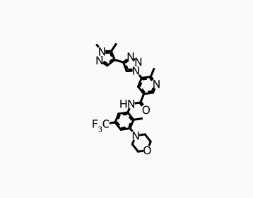 Cc1ncc(C(=O)Nc2cc(C(F)(F)F)cc(N3CCOCC3)c2C)cc1-n1cc(-c2cnn(C)c2C)nn1